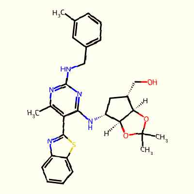 Cc1cccc(CNc2nc(C)c(-c3nc4ccccc4s3)c(N[C@@H]3C[C@H](CO)[C@H]4OC(C)(C)O[C@H]43)n2)c1